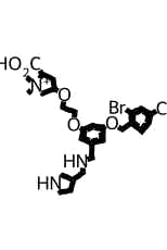 C[N+]1(C)CC(OCCOc2cc(CNCC3CCNC3)cc(OCc3ccc(Cl)cc3Br)c2)CC1C(=O)O